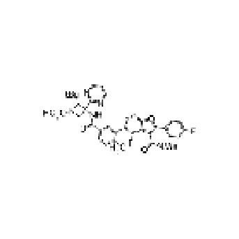 CNC(=O)c1c(-c2ccc(F)cc2)oc2ccc(-c3cc(C(=O)NC4(c5ncccn5)CN(C(=O)O)C4C(C)(C)C)ccc3C)c(F)c12